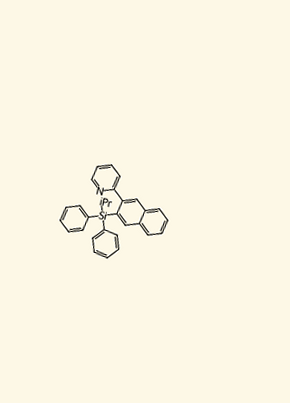 CC(C)[Si](c1ccccc1)(c1ccccc1)c1cc2ccccc2cc1-c1ccccn1